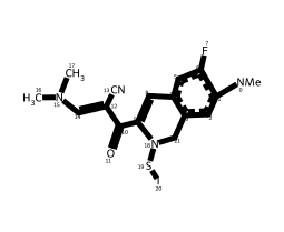 CNc1cc2c(cc1F)C=C(C(=O)/C(C#N)=C/N(C)C)N(SI)C2